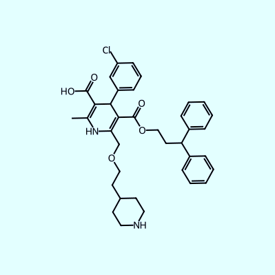 CC1=C(C(=O)O)C(c2cccc(Cl)c2)C(C(=O)OCCC(c2ccccc2)c2ccccc2)=C(COCCC2CCNCC2)N1